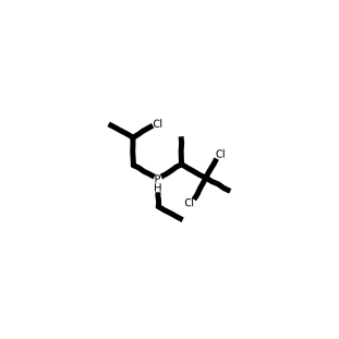 CC[PH](CC(C)Cl)C(C)C(C)(Cl)Cl